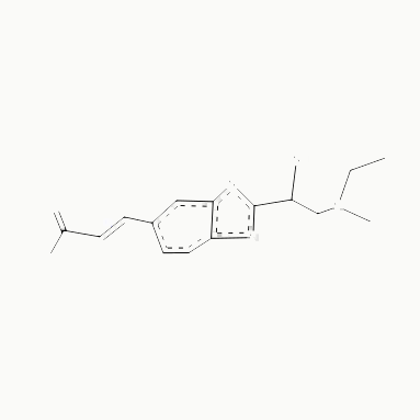 CCN(C)CC(N)c1nc2cc(/C=C/C(=O)O)ccc2[nH]1